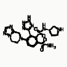 NS(=O)(=O)c1ccc(N2CCn3ncnc3C2)c(-c2nn[nH]n2)c1S(=O)(=O)N[C@@H]1CCNC1